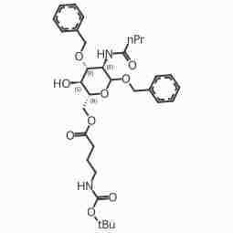 CCCC(=O)N[C@H]1C(OCc2ccccc2)O[C@H](COC(=O)CCCNC(=O)OC(C)(C)C)[C@@H](O)[C@@H]1OCc1ccccc1